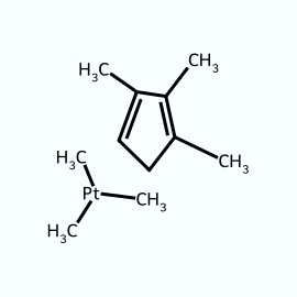 CC1=CCC(C)=C1C.[CH3][Pt]([CH3])[CH3]